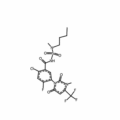 CCCCN(C)S(=O)(=O)NC(=O)c1cc(-n2c(=O)cc(C(F)(F)F)n(C)c2=O)c(F)cc1Cl